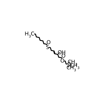 CCCCCCCC(=O)SCC/C=C/[C@@H](O)CC(=O)OCC[Si](C)(C)C